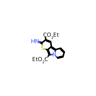 CCOC(=O)c1cc2c(sc1=N)c(C(=O)OCC)n1ccccc21